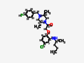 CCCC(C)Nc1cc(Cl)ccc1OCC(=O)N1C[C@H](C)N(Cc2ccc(F)cc2)C[C@H]1C